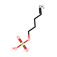 C=CCCCOS(=O)(=O)O